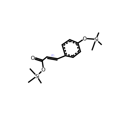 C[Si](C)(C)OC(=O)/C=C/c1ccc(O[Si](C)(C)C)cc1